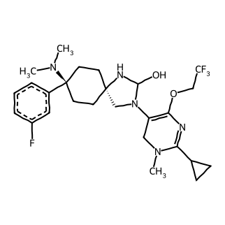 CN1CC(N2C[C@]3(CC[C@](c4cccc(F)c4)(N(C)C)CC3)NC2O)=C(OCC(F)(F)F)N=C1C1CC1